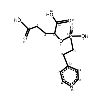 O=C(O)CCC(OP(=O)(O)CCc1ccncc1)C(=O)O